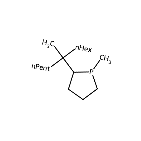 CCCCCCC(C)(CCCCC)C1CCCP1C